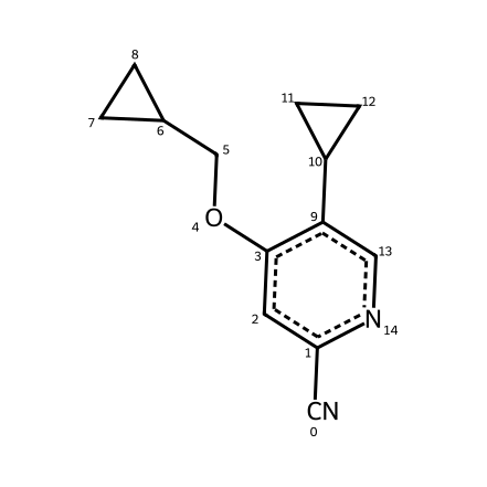 N#Cc1cc(OCC2CC2)c(C2CC2)cn1